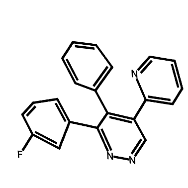 Fc1cccc(-c2nncc(-c3ccccn3)c2-c2ccccc2)c1